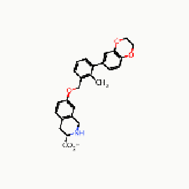 Cc1c(COc2ccc3c(c2)CN[C@@H](C(=O)O)C3)cccc1-c1ccc2c(c1)OCCO2